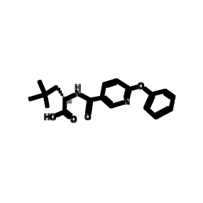 CC(C)(C)C[C@H](NC(=O)c1ccc(Oc2ccccc2)nc1)C(=O)O